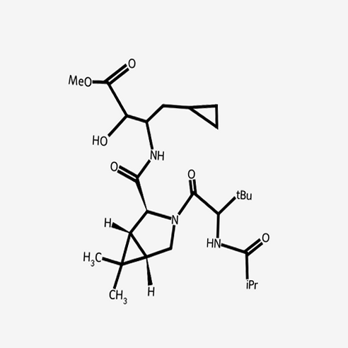 COC(=O)C(O)C(CC1CC1)NC(=O)[C@@H]1[C@@H]2[C@H](CN1C(=O)C(NC(=O)C(C)C)C(C)(C)C)C2(C)C